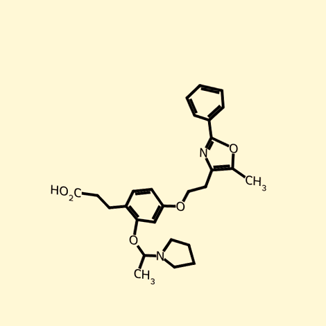 Cc1oc(-c2ccccc2)nc1CCOc1ccc(CCC(=O)O)c(OC(C)N2CCCC2)c1